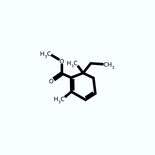 CCC1(C)CC=CC(C)=C1C(=O)OC